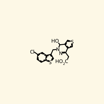 O=C(O)CC1=NN(Cc2csc3ccc(Cl)cc23)C(O)c2cscc21